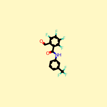 O=Cc1c(F)c(F)c(F)c(F)c1C(=O)Nc1cccc(C(F)(F)F)c1